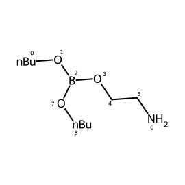 CCCCOB(OCCN)OCCCC